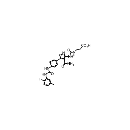 Cc1ccc(F)c(NC(=O)Nc2ccc(-c3snc(NC(=O)NCCC(=O)O)c3C(N)=O)cc2)c1